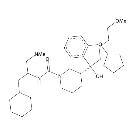 CNCC(CC1CCCCC1)NC(=O)N1CCC[C@@H](C(O)(CCCCOC)c2ccccc2OC2CCCC2)C1